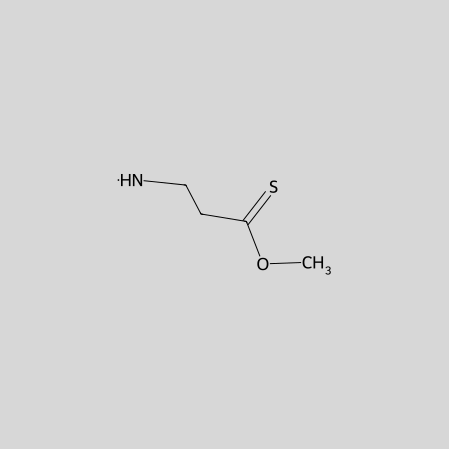 COC(=S)CC[NH]